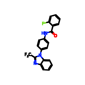 O=C(Nc1ccc(-n2c(C(F)(F)F)nc3ccccc32)cc1)c1ccccc1F